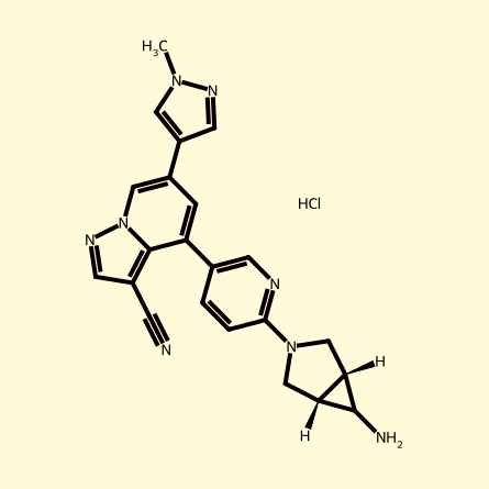 Cl.Cn1cc(-c2cc(-c3ccc(N4C[C@@H]5C(N)[C@@H]5C4)nc3)c3c(C#N)cnn3c2)cn1